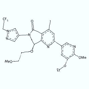 CCOc1cc(-c2cc(C)c3c(n2)C(OCCOC)N(c2cnn(CC(F)(F)F)c2)C3=O)cnc1OC